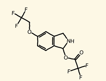 O=C(OC1NCc2cc(OCC(F)(F)F)ccc21)C(F)(F)F